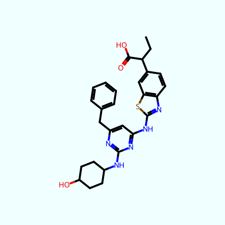 CCC(C(=O)O)c1ccc2nc(Nc3cc(Cc4ccccc4)nc(NC4CCC(O)CC4)n3)sc2c1